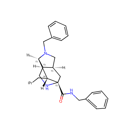 CC(C)C[C@@H]1[C@@H]2[C@@H]3CN[C@@]1(C(=O)NCc1ccccc1)C[C@@H]3CN2Cc1ccccc1